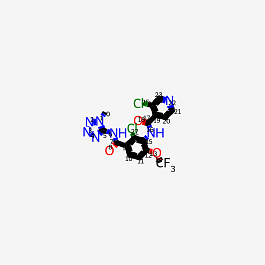 Cn1nnnc1NC(=O)c1ccc(OC(F)(F)F)c(NC(=O)c2ccncc2Cl)c1Cl